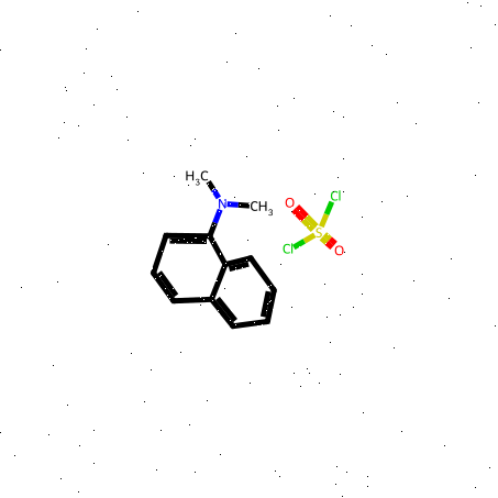 CN(C)c1cccc2ccccc12.O=S(=O)(Cl)Cl